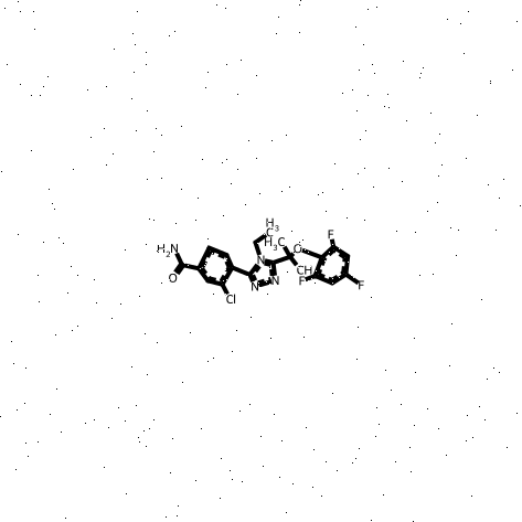 CCn1c(-c2ccc(C(N)=O)cc2Cl)nnc1C(C)(C)Oc1c(F)cc(F)cc1F